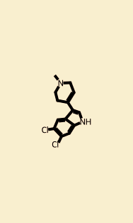 CN1CC=C(c2c[nH]c3cc(Cl)c(Cl)cc23)CC1